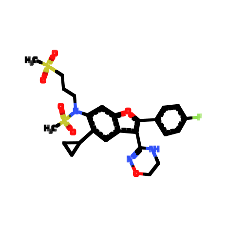 CS(=O)(=O)CCCN(c1cc2oc(-c3ccc(F)cc3)c(C3=NOCCN3)c2cc1C1CC1)S(C)(=O)=O